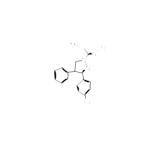 C/N=C(\SC)N1CC(c2ccccc2)C(c2ccc(Cl)cc2)=N1